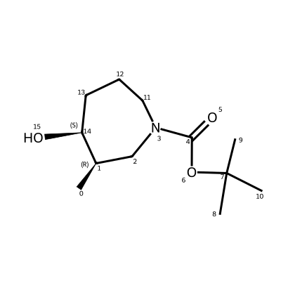 C[C@@H]1CN(C(=O)OC(C)(C)C)CCC[C@@H]1O